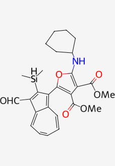 COC(=O)c1c(NC2CCCCC2)oc(-c2c3cccccc-3c(C=O)c2[SiH](C)C)c1C(=O)OC